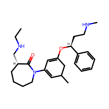 CCNC[C@H]1CCCCN(C2=CC(C)CC(O[C@@H](CCNC)c3ccccc3)=C2)C1=O